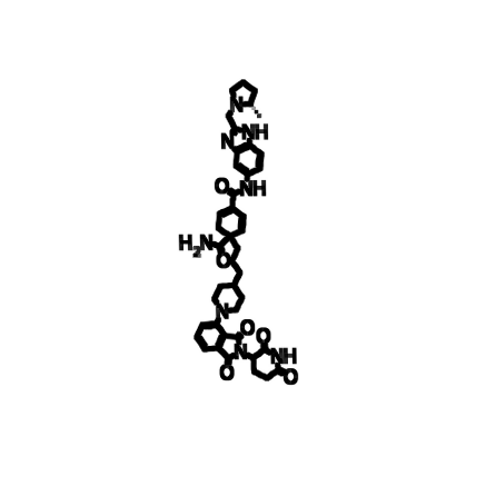 C[C@H]1CCCN1Cc1nc2cc(NC(=O)C3=CCC(CCCC4CCN(c5cccc6c5C(=O)N(C5CCC(=O)NC5=O)C6=O)CC4)(C(N)=O)C=C3)ccc2[nH]1